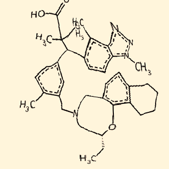 CC[C@@H]1CN(Cc2cc(C(c3ccc4c(nnn4C)c3C)C(C)(C)C(=O)O)ccc2C)Cc2ccc3c(c2O1)CCCC3